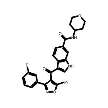 CC(C)c1onc(-c2cccc(F)c2)c1C(=O)c1c[nH]c2cc(C(=O)NC3CCOCC3)ccc12